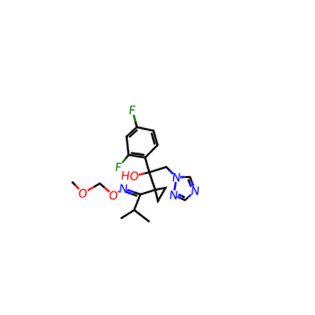 COCON=C(C(C)C)C1(C(O)(Cn2cncn2)c2ccc(F)cc2F)CC1